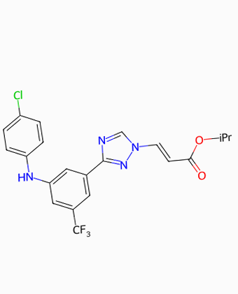 CC(C)OC(=O)C=Cn1cnc(-c2cc(Nc3ccc(Cl)cc3)cc(C(F)(F)F)c2)n1